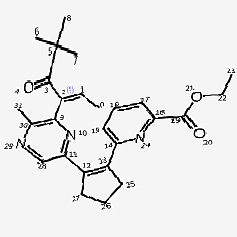 C/C=C(/C(=O)C(C)(C)C)c1nc(C2=C(c3cccc(C(=O)OCC)n3)CCC2)cnc1C